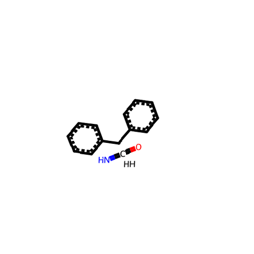 N=C=O.[HH].c1ccc(Cc2ccccc2)cc1